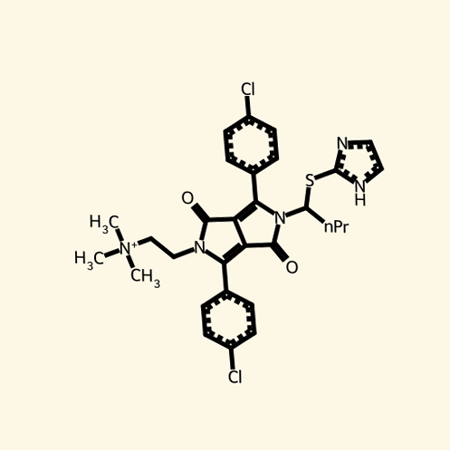 CCCC(Sc1ncc[nH]1)N1C(=O)C2=C(c3ccc(Cl)cc3)N(CC[N+](C)(C)C)C(=O)C2=C1c1ccc(Cl)cc1